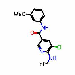 CCCNc1ncc(C(=O)Nc2cccc(OC)c2)cc1Cl